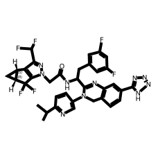 CC(C)c1ccc(N2Cc3ccc(-c4nnn[nH]4)cc3N=C2C(Cc2cc(F)cc(F)c2)NC(=O)Cn2nc(C(F)F)c3c2C(F)(F)[C@@H]2C[C@H]32)cn1